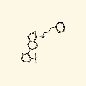 FC(F)(F)c1cccnc1-c1ccc2c(NCCCc3ccccc3)ncnc2c1